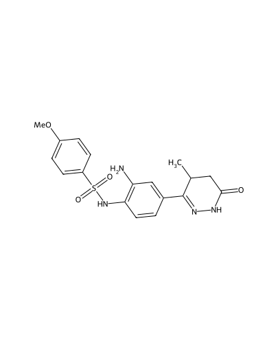 COc1ccc(S(=O)(=O)Nc2ccc(C3=NNC(=O)CC3C)cc2N)cc1